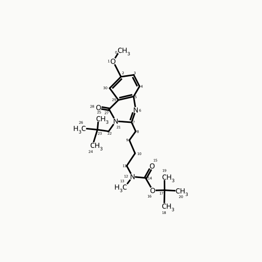 COc1ccc2nc(CCCCN(C)C(=O)OC(C)(C)C)n(CC(C)(C)C)c(=O)c2c1